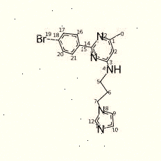 Cc1cc(NCCCn2ccnc2)nc(-c2ccc(Br)cc2)n1